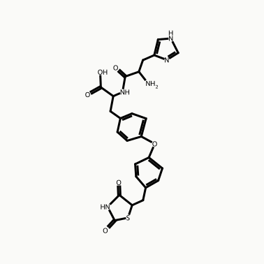 NC(Cc1c[nH]cn1)C(=O)NC(Cc1ccc(Oc2ccc(CC3SC(=O)NC3=O)cc2)cc1)C(=O)O